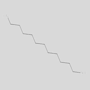 [NH]CCCCCCCCCCCN